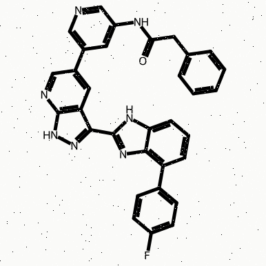 O=C(Cc1ccccc1)Nc1cncc(-c2cnc3[nH]nc(-c4nc5c(-c6ccc(F)cc6)cccc5[nH]4)c3c2)c1